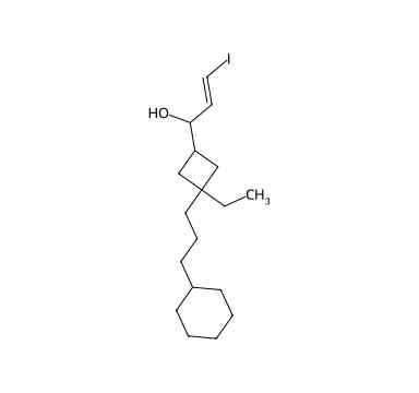 CCC1(CCCC2CCCCC2)CC(C(O)/C=C/I)C1